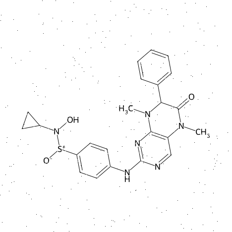 CN1C(=O)C(c2ccccc2)N(C)c2nc(Nc3ccc([S+]([O-])N(O)C4CC4)cc3)ncc21